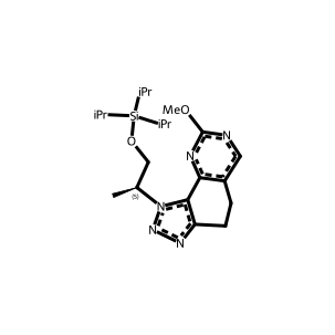 COc1ncc2c(n1)-c1c(nnn1[C@@H](C)CO[Si](C(C)C)(C(C)C)C(C)C)CC2